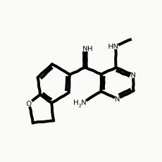 CNc1ncnc(N)c1C(=N)c1ccc2c(c1)CCO2